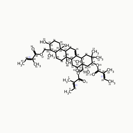 C/C=C(\C)C(=O)OC[C@@]12C(CC(C)(C)[C@@H](OC(=O)/C(C)=C/C)[C@@H]1O)C1=CCC3[C@@]4(S)CC[C@H](O)[C@](C)(COC(=O)/C(C)=C/C)C4CC[C@@]3(C)[C@]1(C)C[C@H]2O